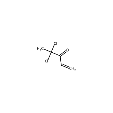 C=CC(=O)C(C)(Cl)Cl